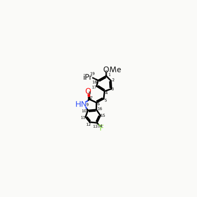 COc1ccc(C=C2C(=O)Nc3ccc(F)cc32)cc1C(C)C